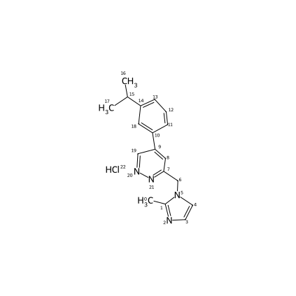 Cc1nccn1Cc1cc(-c2cccc(C(C)C)c2)cnn1.Cl